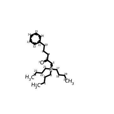 CCCCP(=CC(=O)CCCc1ccccc1)(CCCC)CCCC